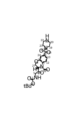 CC(C)(C)OC(=O)NC[C@@H]1OC(=O)N2c3ccc(S(=O)(=O)N4CCNCC4)cc3OC[C@@H]12